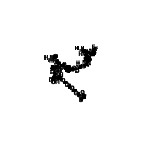 CC(C)[C@H](NC(=O)[C@H](CCC(=O)O)NC(=O)CCOCCOCCOCCOCCN1C(=O)C=CC1=O)C(=O)N[C@@H](CCCNC(N)=O)C(=O)Nc1ccc(COC(=O)NCCOc2cnc3ccc(-c4[nH]c(CN)nc4-c4cccc(C(F)F)n4)cc3n2)cc1